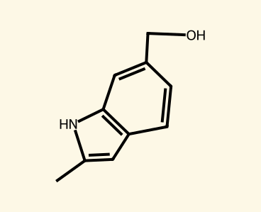 Cc1cc2ccc(CO)cc2[nH]1